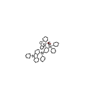 c1ccc(N(c2ccc3c(c2)[Si]2(c4ccccc4Oc4ccccc42)c2ccccc2[Si]3(c2ccccc2)c2ccccc2)c2cccc3c2c2ccccc2n3-c2ccccc2)cc1